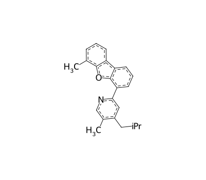 Cc1cnc(-c2cccc3c2oc2c(C)cccc23)cc1CC(C)C